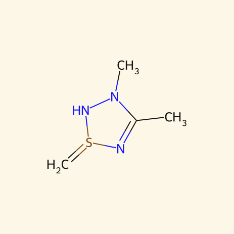 C=S1N=C(C)N(C)N1